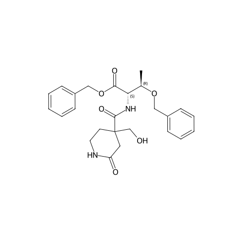 C[C@@H](OCc1ccccc1)[C@H](NC(=O)C1(CO)CCNC(=O)C1)C(=O)OCc1ccccc1